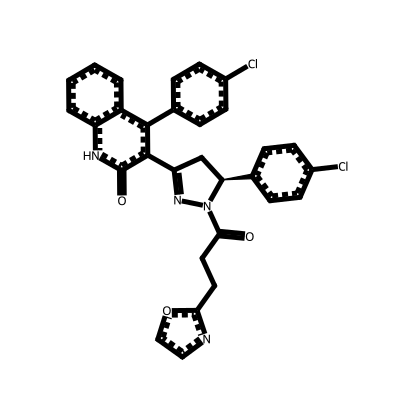 O=C(CCc1ncco1)N1N=C(c2c(-c3ccc(Cl)cc3)c3ccccc3[nH]c2=O)C[C@H]1c1ccc(Cl)cc1